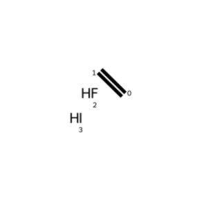 C=C.F.I